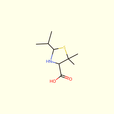 CC(C)C1NC(C(=O)O)C(C)(C)S1